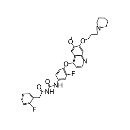 COc1cc2c(Oc3ccc(NC(=O)NC(=O)Cc4ccccc4F)cc3F)ccnc2cc1OCCCN1CCCCC1